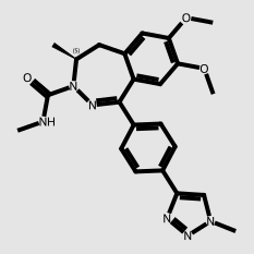 CNC(=O)N1N=C(c2ccc(-c3cn(C)nn3)cc2)c2cc(OC)c(OC)cc2C[C@@H]1C